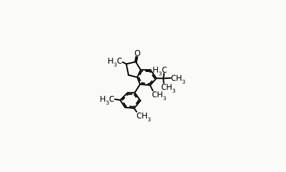 Cc1cc(C)cc(-c2c(C)c(C(C)(C)C)cc3c2CC(C)C3=O)c1